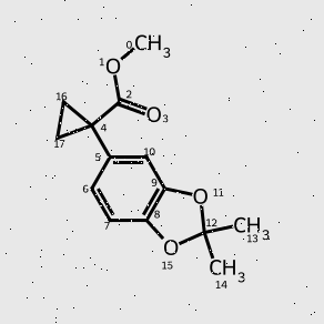 COC(=O)C1(c2ccc3c(c2)OC(C)(C)O3)CC1